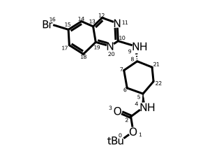 CC(C)(C)OC(=O)N[C@H]1CC[C@H](Nc2ncc3cc(Br)ccc3n2)CC1